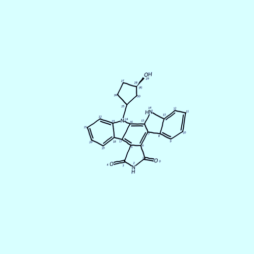 O=C1NC(=O)c2c1c1c3ccccc3[nH]c1c1c2c2ccccc2n1C1CC[C@@H](O)C1